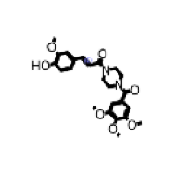 COc1cc(/C=C/C(=O)N2CCN(C(=O)c3cc(OC)c(OC)c(OC)c3)CC2)ccc1O